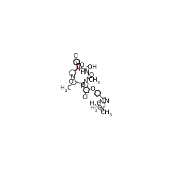 CCC[C@@H]1CC(=O)N(Cc2c(F)cc(Cl)cc2Oc2ccc(-c3cnc(CN(C)C)n3C)cc2)[C@@H](C)C(=O)N[C@@H](CO)C(=O)N[C@@]2(Cc3ccc(Cl)cc3)CCCN(C2)C1=O